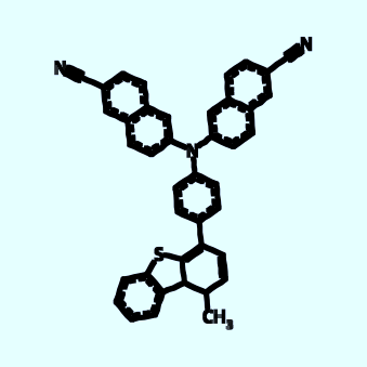 CC1C=CC(c2ccc(N(c3ccc4cc(C#N)ccc4c3)c3ccc4cc(C#N)ccc4c3)cc2)=C2Sc3ccccc3C21